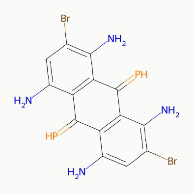 Nc1cc(Br)c(N)c2c1C(=P)c1c(N)cc(Br)c(N)c1C2=P